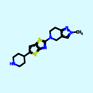 Cn1cc2c(n1)CCN(c1nc3sc(C4CCNCC4)cc3s1)C2